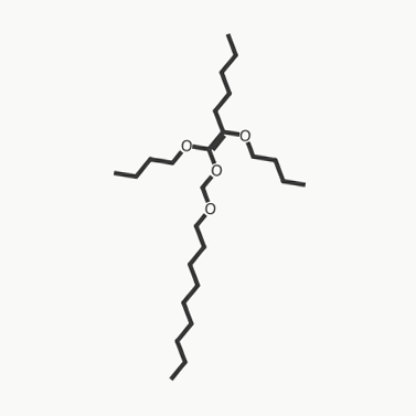 CCCCCCCCCOCO/C(OCCCC)=C(/CCCCC)OCCCC